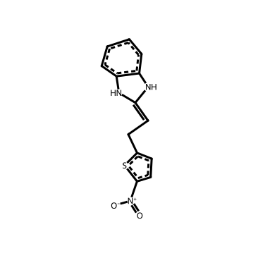 O=[N+]([O-])c1ccc(CC=C2Nc3ccccc3N2)s1